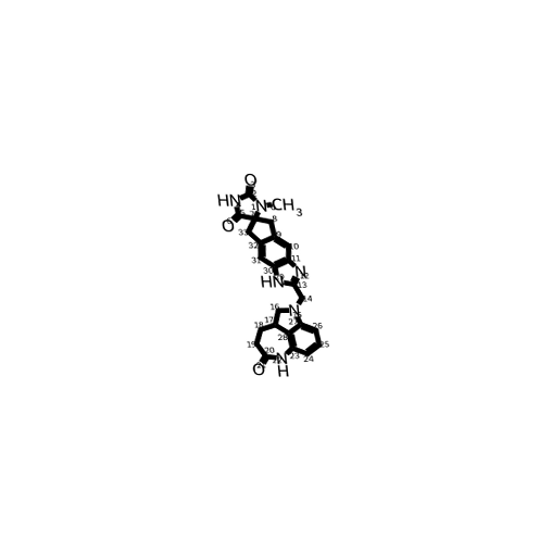 CN1C(=O)NC(=O)C12Cc1cc3nc(CN4CC5CCC(=O)Nc6cccc4c65)[nH]c3cc1C2